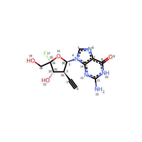 C#C[C@@H]1[C@H](n2cnc3c(=O)[nH]c(N)nc32)O[C@](F)(CO)[C@H]1O